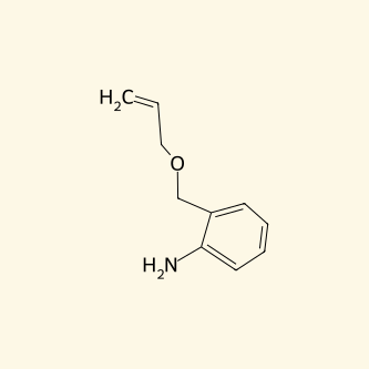 C=CCOCc1ccccc1N